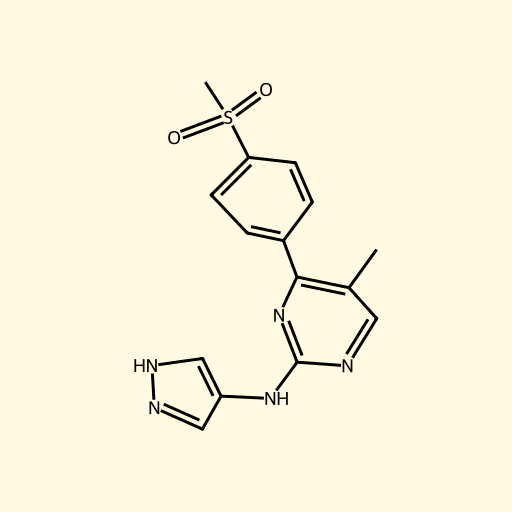 Cc1cnc(Nc2cn[nH]c2)nc1-c1ccc(S(C)(=O)=O)cc1